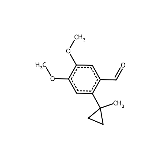 COc1cc(C=O)c(C2(C)CC2)cc1OC